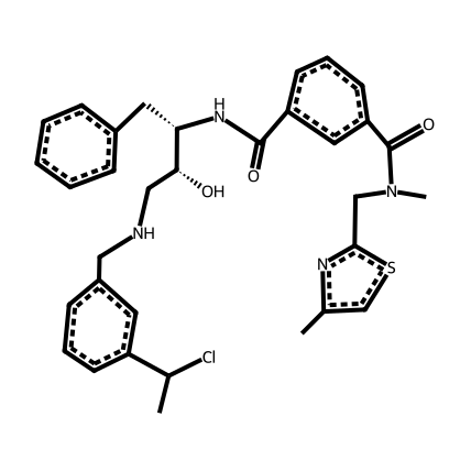 Cc1csc(CN(C)C(=O)c2cccc(C(=O)N[C@@H](Cc3ccccc3)[C@H](O)CNCc3cccc(C(C)Cl)c3)c2)n1